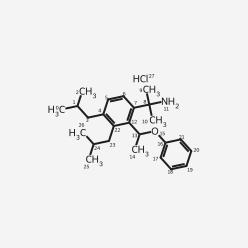 CC(C)Cc1ccc(C(C)(C)N)c(C(C)Oc2ccccc2)c1CC(C)C.Cl